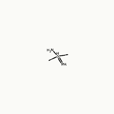 C[SH](C)(N)=P